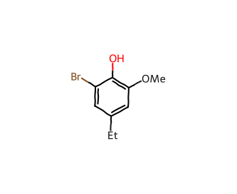 CCc1cc(Br)c(O)c(OC)c1